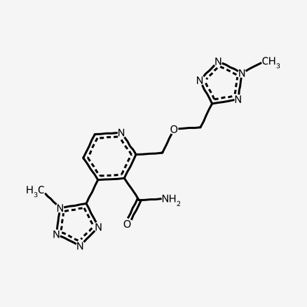 Cn1nnc(COCc2nccc(-c3nnnn3C)c2C(N)=O)n1